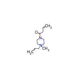 C=CCC(=O)N1CC[N+](C)(CC=C)CC1